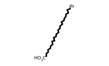 CC(C)CCCCCCCCCCCCCCCCCCCCCCCCCC(=O)O